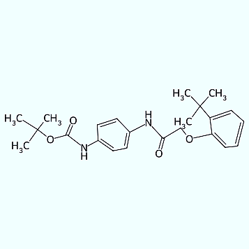 CC(C)(C)OC(=O)Nc1ccc(NC(=O)COc2ccccc2C(C)(C)C)cc1